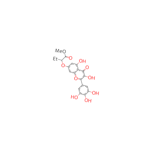 CCC(Oc1cc(O)c2c(=O)c(O)c(-c3cc(O)c(O)c(O)c3)oc2c1)C(=O)OC